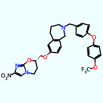 O=[N+]([O-])c1cn2c(n1)O[C@H](COc1ccc3c(c1)CCCN(Cc1ccc(Oc4ccc(OC(F)(F)F)cc4)cc1)C3)CC2